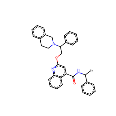 CCC(NC(=O)c1cc(OCC(c2ccccc2)N2CCc3ccccc3C2)nc2ccccc12)c1ccccc1